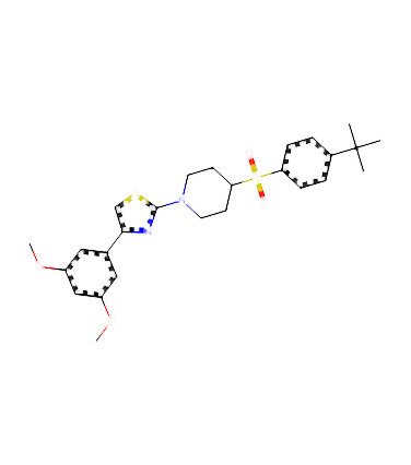 COc1cc(OC)cc(-c2csc(N3CCC(S(=O)(=O)c4ccc(C(C)(C)C)cc4)CC3)n2)c1